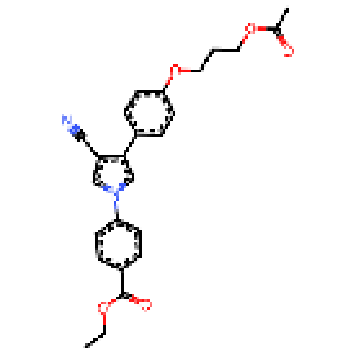 CCOC(=O)c1ccc(-n2cc(C#N)c(-c3ccc(OCCCOC(C)=O)cc3)c2)cc1